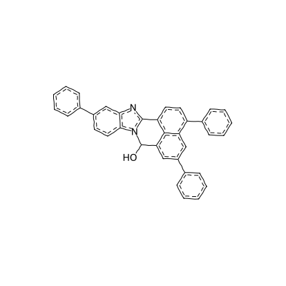 OC1c2cc(-c3ccccc3)cc3c(-c4ccccc4)ccc(c23)-c2nc3cc(-c4ccccc4)ccc3n21